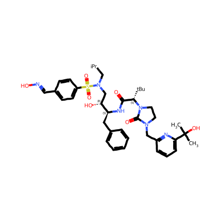 CC(C)CN(C[C@@H](O)[C@H](Cc1ccccc1)NC(=O)[C@@H](N1CCN(Cc2cccc(C(C)(C)O)n2)C1=O)C(C)(C)C)S(=O)(=O)c1ccc(C=NO)cc1